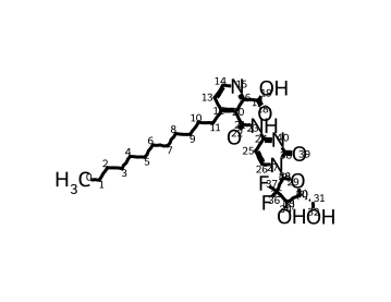 CCCCCCCCCCCCc1ccnc(C(=O)O)c1C(=O)Nc1ccn([C@@H]2O[C@H](CO)[C@@H](O)C2(F)F)c(=O)n1